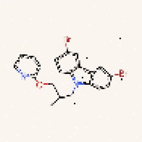 CC(COc1ccccn1)Cn1c2ccc(Br)cc2c2cc(Br)ccc21